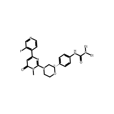 CCN(CC)C(=O)Nc1ccc([C@H]2CN(c3nc(-c4ccncc4F)cc(=O)n3C)CCO2)cc1